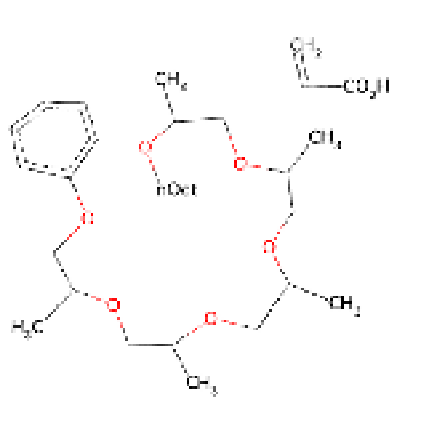 C=CC(=O)O.CCCCCCCCOC(C)COC(C)COC(C)COC(C)COC(C)COc1ccccc1